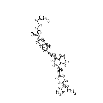 CCCCOC(=O)c1cc2sc(N=Nc3ccc(N=Nc4ccc(N(CC)CC)cc4)c4ccccc34)nc2s1